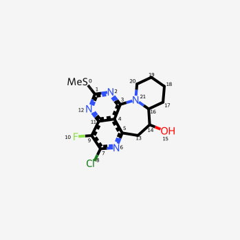 CSc1nc2c3c(nc(Cl)c(F)c3n1)CC(O)C1CCCCN21